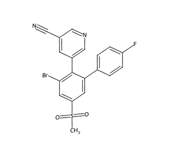 CS(=O)(=O)c1cc(Br)c(-c2cncc(C#N)c2)c(-c2ccc(F)cc2)c1